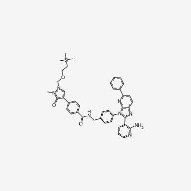 Cn1c(=O)c(-c2ccc(C(=O)NCc3ccc(-n4c(-c5cccnc5N)nc5ccc(-c6ccccc6)nc54)cc3)cc2)cn1COCC[Si](C)(C)C